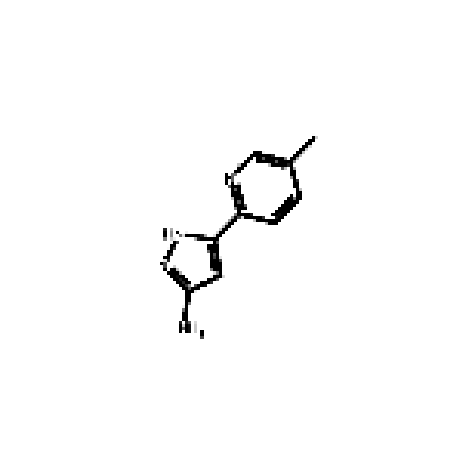 Cc1ccc(-c2cc(N)n[nH]2)nc1